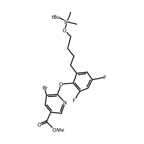 COC(=O)c1cnc(Oc2c(F)cc(F)cc2CCCCO[Si](C)(C)C(C)(C)C)c(Br)c1